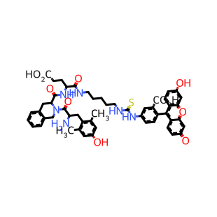 Cc1cc(O)cc(C)c1CC(N)C(=O)N1Cc2ccccc2CC1C(=O)NC(CCC(=O)O)C(=O)NCCCCCNC(=S)Nc1ccc(-c2c3ccc(=O)cc-3oc3cc(O)ccc23)c(C(=O)O)c1